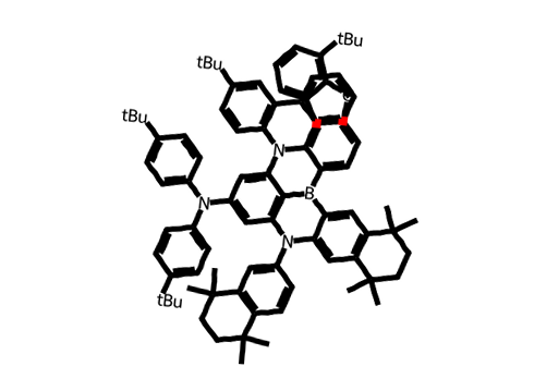 CC(C)(C)c1ccc(N(c2ccc(C(C)(C)C)cc2)c2cc3c4c(c2)N(c2ccc(C(C)(C)C)cc2-c2ccccc2)c2c(ccc5oc6c(C(C)(C)C)cccc6c25)B4c2cc4c(cc2N3c2ccc3c(c2)C(C)(C)CCC3(C)C)C(C)(C)CCC4(C)C)cc1